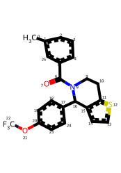 Cc1cccc(C(=O)N2CCc3sccc3C2c2ccc(OC(F)(F)F)cc2)c1